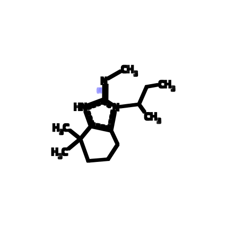 CCC(C)n1c2c([nH]/c1=N/C)C(C)(C)CCC2